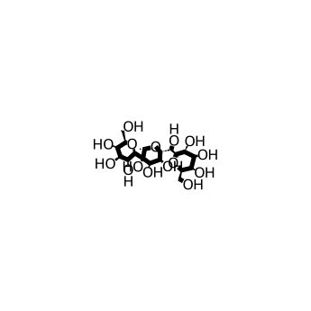 OC[C@H]1O[C@@H]([C@]2(O)[CH]O[C@H](C(O)[C@@H]3O[C@H](CO)[C@@H](O)[C@H](O)[C@H]3O)[C@@H](O)[C@@H]2O)[C@H](O)[C@@H](O)[C@@H]1O